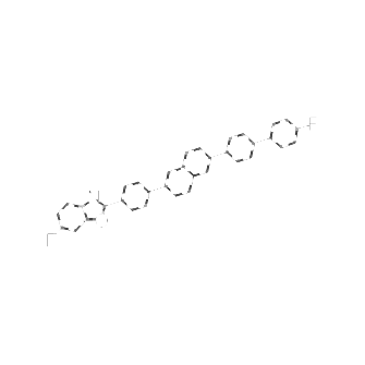 Fc1ccc(-c2ccc(-c3ccc4cc(-c5ccc(-c6nc7ccc(F)cc7o6)cc5)ccc4c3)cc2)cc1